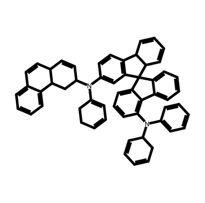 C1=CCCC(N(c2ccc3c(c2)C2(c4ccccc4-c4c(N(c5ccccc5)C5C=CC=CC5)cccc42)C2C=CC=CC32)C2C=CC3C=Cc4ccccc4C3C2)=C1